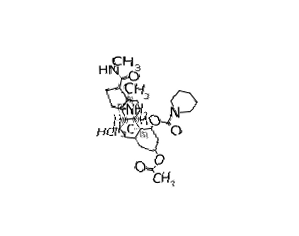 CNC(=O)C1CC[C@@]2(N)[C@@H]3CCC4CC(OC(C)=O)CC(OC(=O)N5CCCCC5)[C@]4(C)[C@@H]3CC[C@]12C.Cl